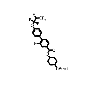 CCCCCC1CCC(OC(=O)c2ccc(-c3ccc(OC(F)(F)C(F)C(F)(F)F)cc3)c(F)c2)CC1